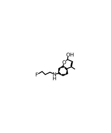 CC1=CC(O)Oc2cc(NCCCF)ccc21